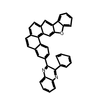 c1ccc(-c2nc3ccccc3nc2-c2ccc3c(ccc4ccc5cc6c(cc5c43)oc3ccccc36)c2)cc1